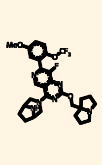 COc1ccc(OC(F)(F)F)c(-c2ncc3c(N4CC5CCC(C4)N5)nc(OCC45CCCN4CCC5)nc3c2F)c1